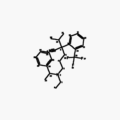 CCN(CCCC(C#N)(c1ccccc1C(F)(F)F)C(C)C)C(C)c1ccccc1